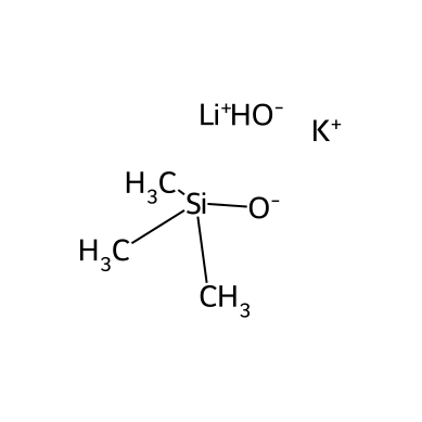 C[Si](C)(C)[O-].[K+].[Li+].[OH-]